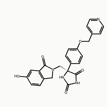 O=C1NC(=O)[C@](CN2Cc3ccc(O)cc3C2=O)(c2ccc(OCc3ccncc3)cc2)N1